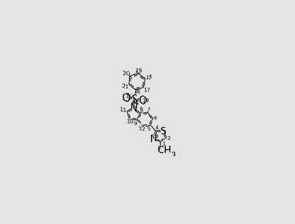 Cc1csc(-c2ccc3c(ccn3S(=O)(=O)c3ccccc3)c2)n1